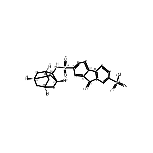 O=C1c2cc(S(=O)(=O)Cl)ccc2-c2ccc(S(=O)(=O)NC3[C@H]4C[C@@H]5C[C@@H](C[C@H]3C5)C4)cc21